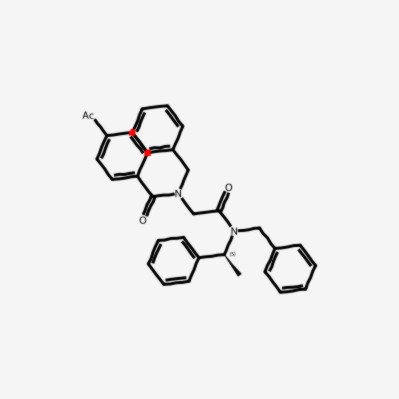 CC(=O)c1ccc(C(=O)N(CC(=O)N(Cc2ccccc2)[C@@H](C)c2ccccc2)Cc2ccccc2)cc1